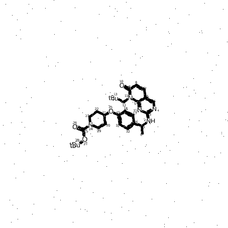 CC(Nc1ncc2ccc(=O)n(CC(C)(C)C)c2n1)c1ccc(OC2CCN(C(=O)OC(C)(C)C)CC2)cc1